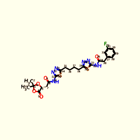 CC1(C)OC(=O)[C@@H](CC(=O)Nc2nnc(CCCCc3nnc(NC(=O)Cc4cccc(F)c4)s3)s2)O1